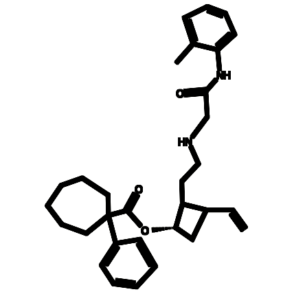 C=CC1C[C@H](OC(=O)C2(c3ccccc3)CCCCCC2)C1CCNCC(=O)Nc1ccccc1C